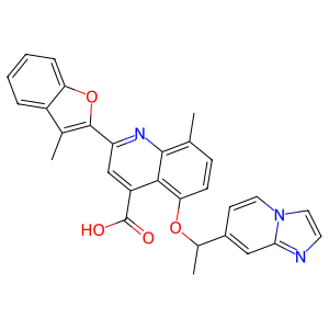 Cc1c(-c2cc(C(=O)O)c3c(OC(C)c4ccn5ccnc5c4)ccc(C)c3n2)oc2ccccc12